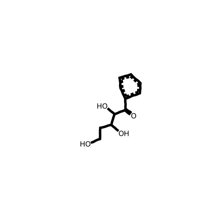 O=C(c1ccccc1)C(O)C(O)CCO